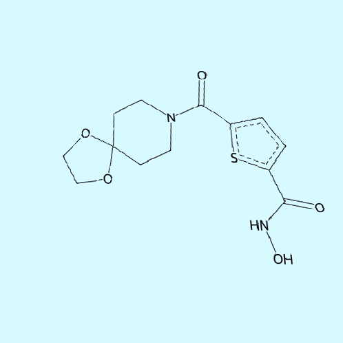 O=C(NO)c1ccc(C(=O)N2CCC3(CC2)OCCO3)s1